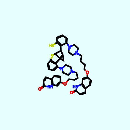 O=c1ccc2ccc(OCCCCN3CCN(c4cccc(S)c4C4C5CC56c5c(cccc5N5CCN(CCCCOc7ccc8ccc(=O)[nH]c8c7)CC5)SC46)CC3)cc2[nH]1